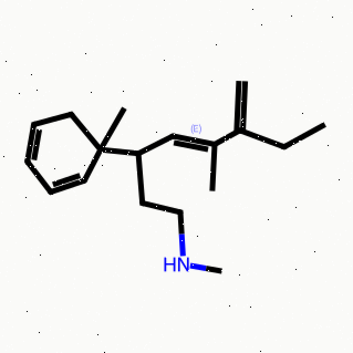 C=C(CC)/C(C)=C/C(CCNC)C1(C)C=CC=CC1